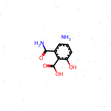 N.NC(=O)c1cccc(O)c1C(=O)O